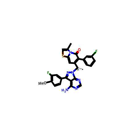 COc1ccc(-c2nn([C@@H](C)c3cc4scc(C)n4c(=O)c3-c3cccc(F)c3)c3ncnc(N)c23)cc1F